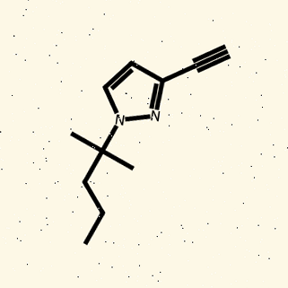 C#Cc1ccn(C(C)(C)CCC)n1